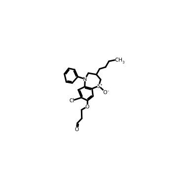 CCCCC1CN(c2ccccc2)c2cc(Cl)c(OCCC=O)cc2[S+]([O-])C1